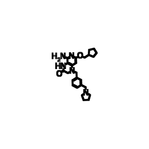 Nc1nc(OCC2CCCC2)cc2c1NC(=O)CN2Cc1cccc(CN2CCCC2)c1